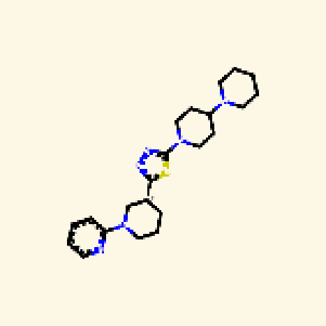 c1ccc(N2CCC[C@H](c3nnc(N4CCC(N5CCCCC5)CC4)s3)C2)nc1